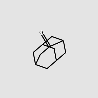 O=C1CC2CC3CC(C2)CC1C3